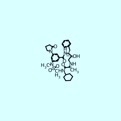 C[C@H](NC[C@@H](O)[C@H](Cc1ccccc1)NC(=O)c1cc(N2CCCC2=O)cc(N(C)S(C)(=O)=O)c1)C(=O)NC1CCCCC1